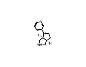 c1cncc(N2CC[C@H]3CNC[C@H]32)c1